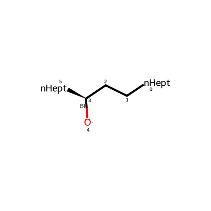 CCCCCCCCC[C@@H]([O])CCCCCCC